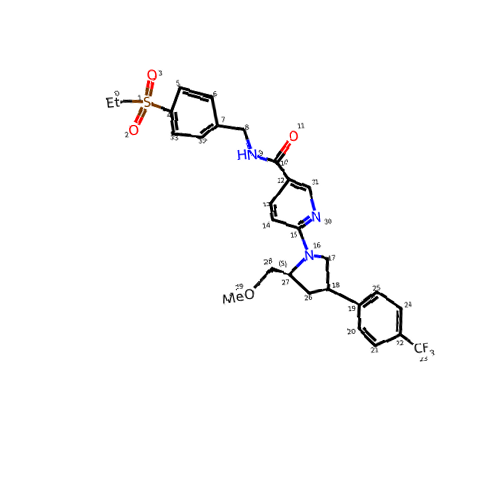 CCS(=O)(=O)c1ccc(CNC(=O)c2ccc(N3CC(c4ccc(C(F)(F)F)cc4)C[C@H]3COC)nc2)cc1